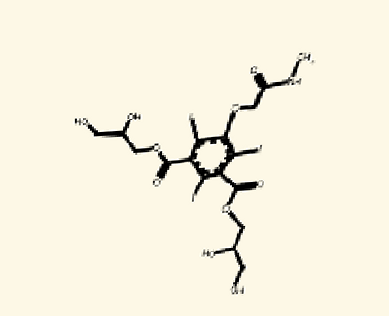 CNC(=O)COc1c(I)c(C(=O)OCC(O)CO)c(I)c(C(=O)OCC(O)CO)c1I